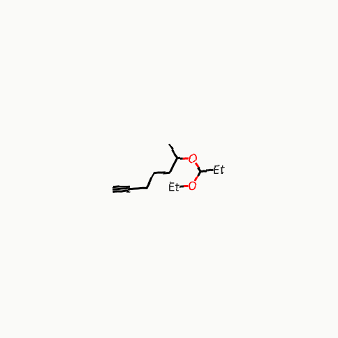 C#CCCCC(C)OC(CC)OCC